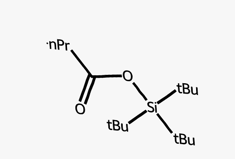 CC[CH]C(=O)O[Si](C(C)(C)C)(C(C)(C)C)C(C)(C)C